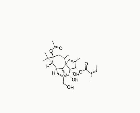 C/C=C(/C)C(=O)O[C@H]1C(C)=CC23C(=O)[C@@H](C=C(CO)[C@@H](O)[C@]12O)[C@@H]1C(C)(C)[C@]1(OC(C)=O)CC3C